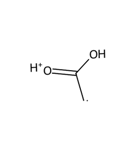 [CH2]C(=O)O.[H+]